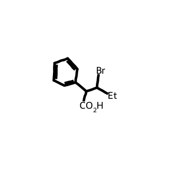 CCC(Br)C(C(=O)O)c1ccccc1